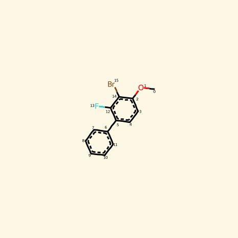 COc1ccc(-c2ccccc2)c(F)c1Br